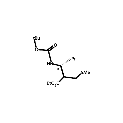 CCOC(=O)C(CSC)[C@H](NC(=O)OC(C)(C)C)C(C)C